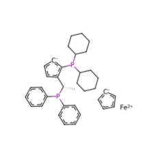 C[C@@H](c1cc[cH-]c1P(C1CCCCC1)C1CCCCC1)P(c1ccccc1)c1ccccc1.[Fe+2].c1cc[cH-]c1